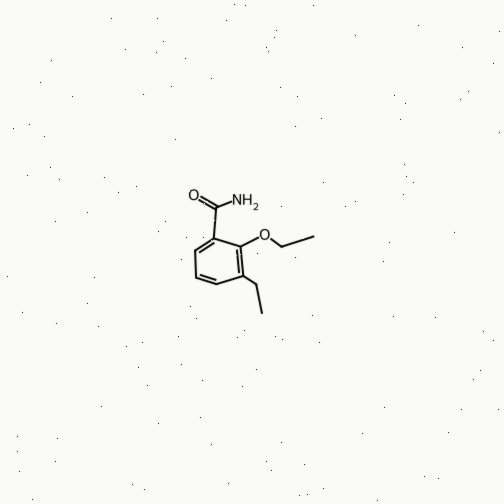 CCOc1c(CC)cccc1C(N)=O